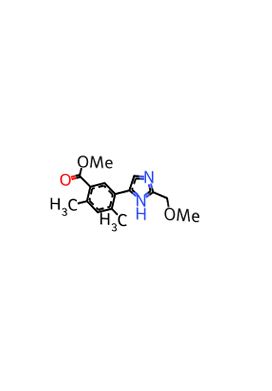 COCc1ncc(-c2cc(C(=O)OC)c(C)cc2C)[nH]1